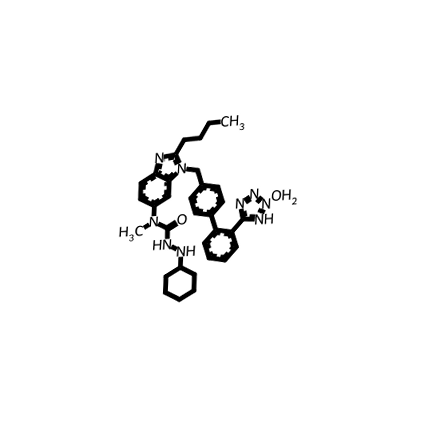 CCCCc1nc2ccc(N(C)C(=O)NNC3CCCCC3)cc2n1Cc1ccc(-c2ccccc2-c2nnn[nH]2)cc1.O